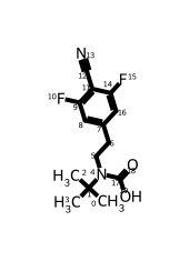 CC(C)(C)N(CCc1cc(F)c(C#N)c(F)c1)C(=O)O